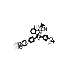 N#CC1(NC(=O)[C@@H]2CCCC[C@H]2c2oc(-c3ccc(OC(F)F)cc3)nc2-c2ccc(N3CCS(O)(O)CC3)cc2)CC1